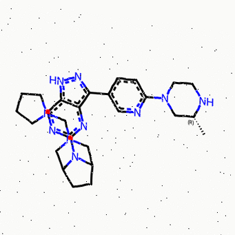 C[C@@H]1CN(c2ccc(-c3n[nH]c4cnc(N5C6CCC5CN(CN5CCCC5)C6)nc34)cn2)CCN1